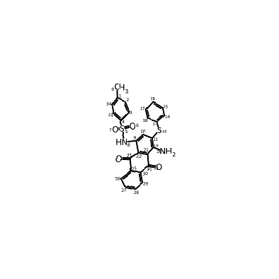 Cc1ccc(S(=O)(=O)Nc2cc(Sc3ccccc3)c(N)c3c2C(=O)c2ccccc2C3=O)cc1